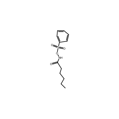 CCCCCC(=O)NOS(=O)(=O)c1ccccc1